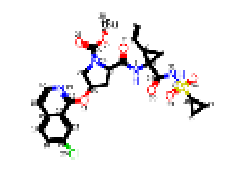 C=CC1CC1(NC(=O)C1CC(Oc2nccc3ccc(Cl)cc23)CN1C(=O)OC(C)(C)C)C(=O)NS(=O)(=O)C1CC1